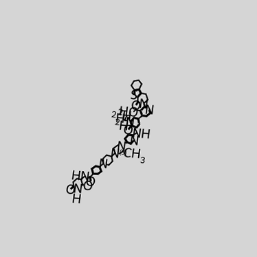 [2H]C([2H])([2H])n1cc(-c2ccnc(N3CCc4c(sc5c4CCCC5)C3=O)c2CO)cc(Nc2ccc(N3CCN(C4CCN(c5ccc(C(=O)NC6CCC(=O)NC6=O)cc5)CC4)C[C@@H]3C)cn2)c1=O